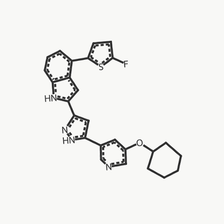 Fc1ccc(-c2cccc3[nH]c(-c4cc(-c5cncc(OC6CCCCC6)c5)[nH]n4)cc23)s1